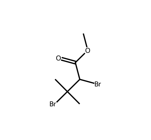 COC(=O)C(Br)C(C)(C)Br